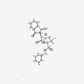 CC1(C)S[C@@H]2[C@H](N3C(=O)c4ccccc4C3=O)C(=O)N2C1C(=O)OCc1ccccc1